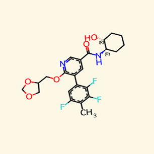 Cc1c(F)cc(-c2cc(C(=O)N[C@@H]3CCCC[C@H]3O)cnc2OCC2COCO2)c(F)c1F